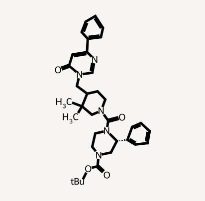 CC(C)(C)OC(=O)N1CCN(C(=O)N2CCC(Cn3cnc(-c4ccccc4)cc3=O)C(C)(C)C2)[C@H](c2ccccc2)C1